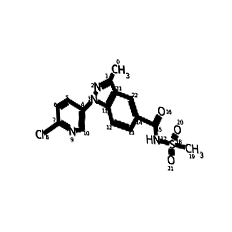 Cc1nn(-c2ccc(Cl)nc2)c2ccc(C(=O)NS(C)(=O)=O)cc12